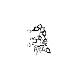 C=CC[C@H](C)N(C[C@@H]1CCCO1)S(=O)(=O)NC(=O)c1ccc2c(c1)N(C[C@@H]1CC[C@H]1C(O)C=C)C[C@@]1(CCCc3cc(Cl)ccc31)CO2